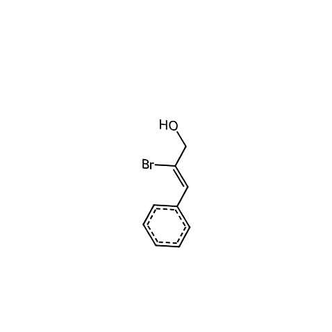 OC/C(Br)=C/c1ccccc1